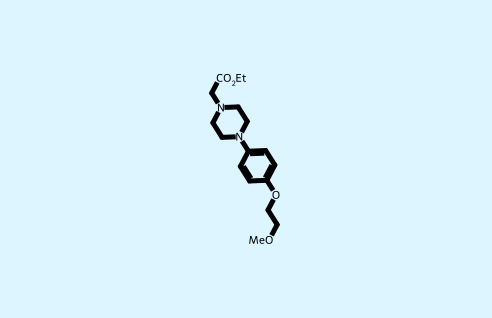 CCOC(=O)CN1CCN(c2ccc(OCCOC)cc2)CC1